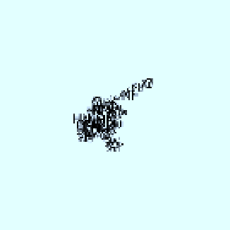 COCCOCCNCCCCC[C@@H](NC(=O)[C@@H](CC(C)C)NC(=O)[C@@H](CCc1ccccc1)NC(=O)[C@H](N)Cc1ccccc1)C(=O)N1CCC2(CC1)NC(=O)NC2=O